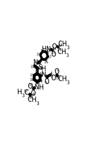 CC(=O)OCC(=O)Nc1cc(NC(=O)OC(C)C)ccc1-c1cnc(C2CCC(NC(=O)OC(C)C)CC2)s1